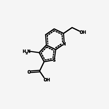 Nc1c(C(=O)O)sc2nc(CO)ccc12